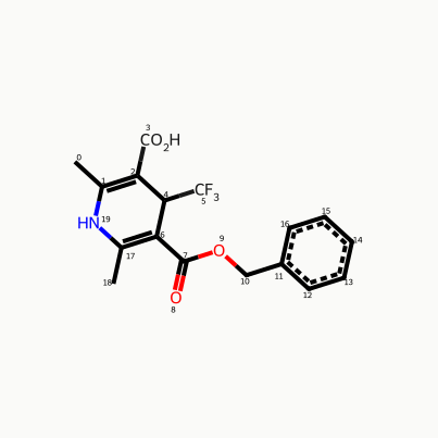 CC1=C(C(=O)O)C(C(F)(F)F)C(C(=O)OCc2ccccc2)=C(C)N1